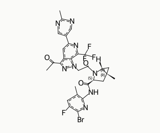 CC(=O)c1nn(CC(=O)N2[C@H](C(=O)Nc3nc(Br)c(F)cc3C)C[C@@]3(C)C[C@@H]23)c2c(C(F)(F)F)nc(-c3cnc(C)nc3)cc12